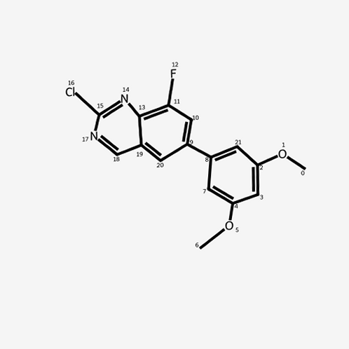 COc1cc(OC)cc(-c2cc(F)c3nc(Cl)ncc3c2)c1